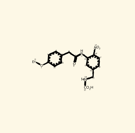 CCOc1ccc(CC(=O)Nc2cc(CNC(=O)O)ccc2[N+](=O)[O-])cc1